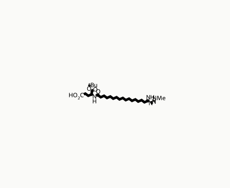 CN/N=N\C(=N)CCCCCCCCCCCCCCCC(=O)NC(CCC(=O)O)C(=O)OC(C)(C)C